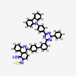 N=C1/C(=N\S)C=Cc2c(-c3ccc(-c4cccc(-c5nc(-c6ccccc6)nc(-c6ccc(-n7c8ccccc8c8ccccc87)cc6)n5)c4)cc3)nc3ccccc3c21